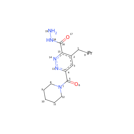 CC(C)Cc1cc(C(=O)N2CCCCC2)nnc1C(=O)NN